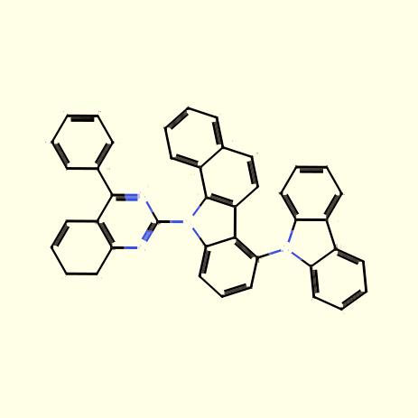 C1=Cc2c(nc(-n3c4cccc(-n5c6ccccc6c6ccccc65)c4c4ccc5ccccc5c43)nc2-c2ccccc2)CC1